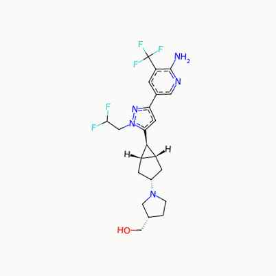 Nc1ncc(-c2cc([C@H]3[C@@H]4C[C@H](N5CC[C@H](CO)C5)C[C@@H]43)n(CC(F)F)n2)cc1C(F)(F)F